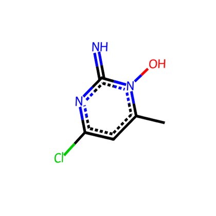 Cc1cc(Cl)nc(=N)n1O